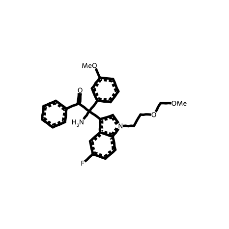 COCOCCn1cc(C(N)(C(=O)c2ccccc2)c2cccc(OC)c2)c2cc(F)ccc21